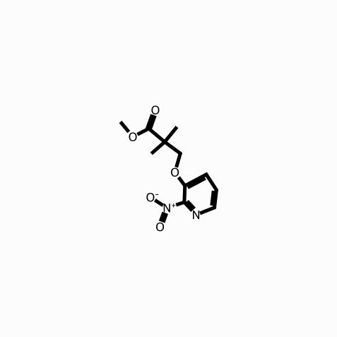 COC(=O)C(C)(C)COc1cccnc1[N+](=O)[O-]